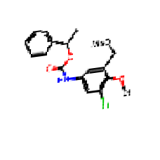 CCOc1c(Cl)cc(NC(=O)OC(C)c2ccccc2)cc1COC